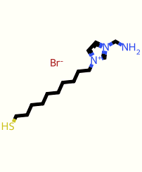 NCn1cc[n+](CCCCCCCCCCS)c1.[Br-]